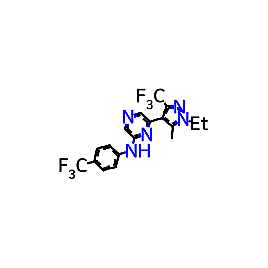 CCn1nc(C(F)(F)F)c(-c2cncc(Nc3ccc(C(F)(F)F)cc3)n2)c1C